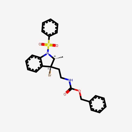 C[C@H]1N(S(=O)(=O)c2ccccc2)c2ccccc2[C@@]1(Br)CCNC(=O)OCc1ccccc1